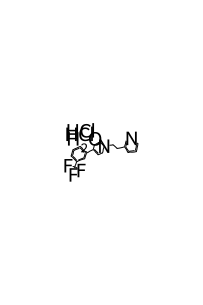 Cl.Cl.FC(F)(F)c1cccc(C2=CCN(CCc3cccnc3)CC2)c1.O